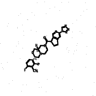 N#Cc1c(F)ccc([C@H]2CN3CCN(C(=O)C4CCc5cc(-n6cnnn6)ncc54)C[C@H]3CO2)c1F